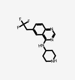 FC(F)(F)Cc1ccc2ncnc(NC3CCNCC3)c2c1